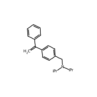 C=C(c1ccccc1)c1ccc(CN(C(C)C)C(C)C)cc1